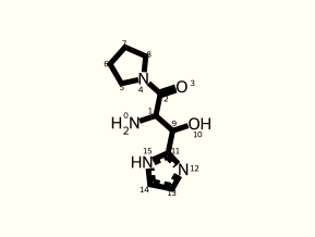 NC(C(=O)N1CCCC1)C(O)c1ncc[nH]1